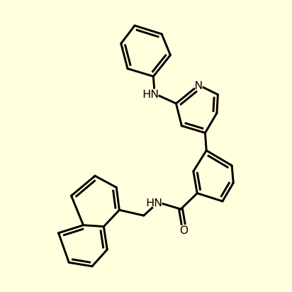 O=C(NCc1cccc2ccccc12)c1cccc(-c2ccnc(Nc3ccccc3)c2)c1